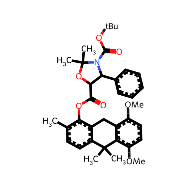 COc1ccc(OC)c2c1Cc1c(ccc(C)c1OC(=O)C1OC(C)(C)N(C(=O)OC(C)(C)C)C1c1ccccc1)C2(C)C